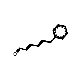 O=CC=CC=CCc1ccccc1